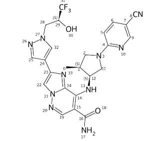 C[C@H]1CN(c2ccc(C#N)cn2)C[C@H]1Nc1c(C(N)=O)cnn2cc(-c3cnn(C[C@H](O)C(F)(F)F)c3)nc12